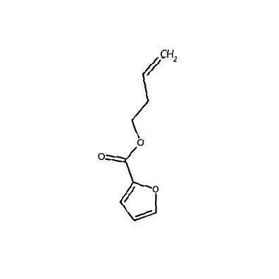 C=CCCOC(=O)c1ccco1